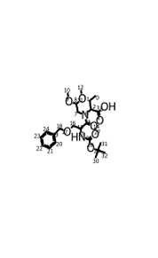 CCC(C(=O)O)N(CC(OC)OC)C(=O)C(COCc1ccccc1)NC(=O)OC(C)(C)C